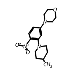 CC1CCN(c2cc(N3CCOCC3)ccc2[N+](=O)[O-])CC1